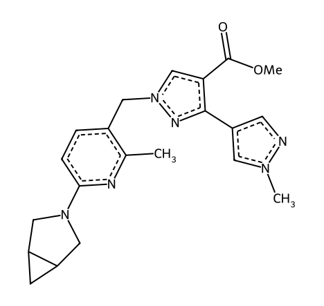 COC(=O)c1cn(Cc2ccc(N3CC4CC4C3)nc2C)nc1-c1cnn(C)c1